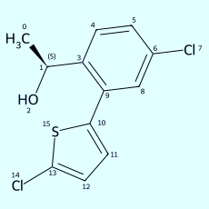 C[C@H](O)c1ccc(Cl)cc1-c1ccc(Cl)s1